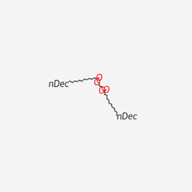 CCCCCCCCCCCCCCCCCCCCCC(=O)OCCCOC(=O)CCCCCCCCCCCCCCCCCCCCC